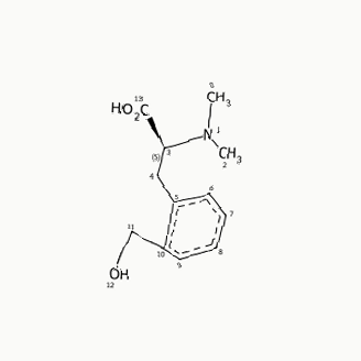 CN(C)[C@@H](Cc1ccccc1CO)C(=O)O